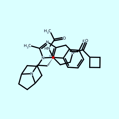 CC(=O)N[C@@H](CCN1C2CCC1CC(n1c(C)nc3c1CCN(C(=O)C1CCC1)C3)C2)c1cccc(F)c1